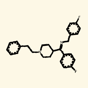 Fc1ccc(C/N=C(\c2ccc(F)cc2)C2CCN(CCc3ccccc3)CC2)cc1